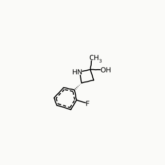 CC1(O)C[C@H](c2ccccc2F)N1